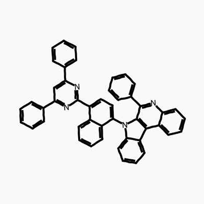 c1ccc(-c2cc(-c3ccccc3)nc(-c3ccc(-n4c5ccccc5c5c6ccccc6nc(-c6ccccc6)c54)c4ccccc34)n2)cc1